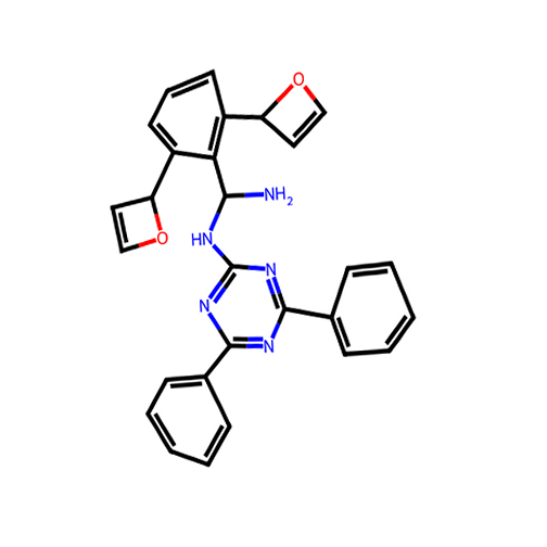 NC(Nc1nc(-c2ccccc2)nc(-c2ccccc2)n1)c1c(C2C=CO2)cccc1C1C=CO1